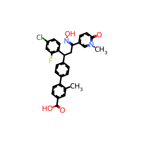 Cc1cc(C(=O)O)ccc1-c1ccc(C(C/C(=N/O)c2ccc(=O)n(C)c2)c2ccc(Cl)cc2F)cc1